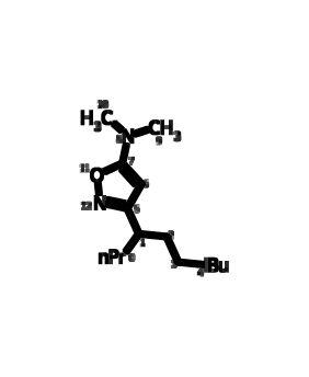 CCCC(CCC(C)CC)c1cc(N(C)C)on1